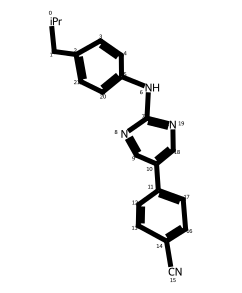 CC(C)Cc1ccc(Nc2ncc(-c3ccc(C#N)cc3)cn2)cc1